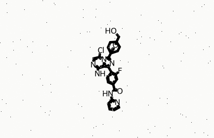 Nc1ncc(Cl)n2c(C34CCC(CO)(CC3)OC4)nc(-c3ccc(C(=O)Nc4ccccn4)cc3F)c12